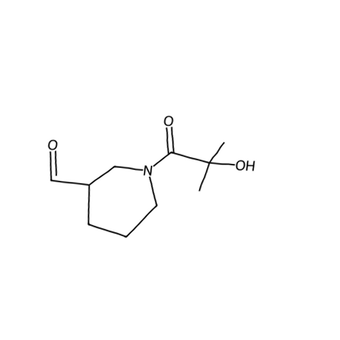 CC(C)(O)C(=O)N1CCCC(C=O)C1